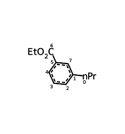 [CH2]CCc1cccc(C(=O)OCC)c1